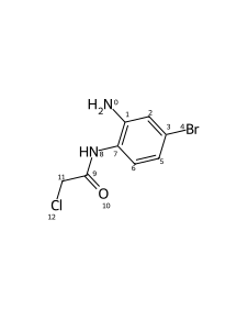 Nc1cc(Br)ccc1NC(=O)CCl